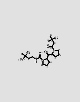 CCCC(C)(CC)CCNC(=O)N1CCCC1C(=O)C1CCCN1C(=O)CC(C)(C)CC